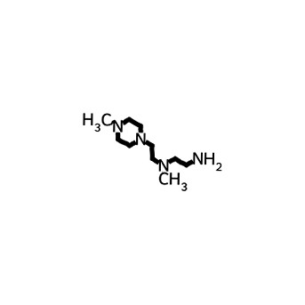 CN(CCN)CCN1CCN(C)CC1